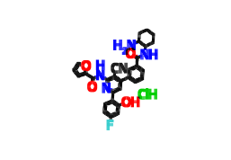 Cl.N#Cc1c(-c2cccc(C(=O)NC3CCCCC3N)c2)cc(-c2ccc(F)cc2O)nc1NC(=O)c1ccco1